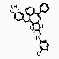 COc1ccc(CN2C(=O)C(NC(=O)CNc3cc(Cl)ncn3)N=C(c3ccccc3)c3ccccc32)cc1